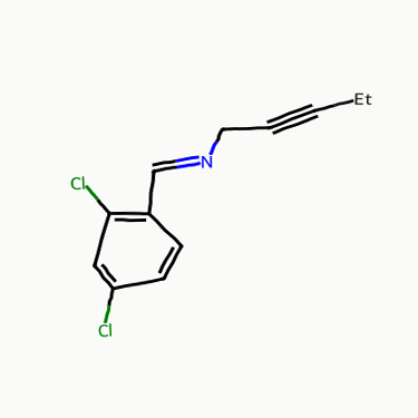 CCC#CCN=Cc1ccc(Cl)cc1Cl